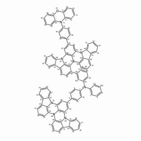 c1ccc(N(c2ccc(-c3cc4c5c(c3)-n3c6ccccc6c6cccc(c63)B5c3cccc5c6ccccc6n-4c35)cc2)c2cccc(-c3ccc4c5ccccc5n5c4c3B3c4c(cc(-c6ccc(N7c8ccccc8Oc8ccccc87)cc6)cc4-5)-n4c5ccccc5c5cccc3c54)c2)cc1